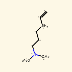 C=C[SiH2]CCCN(OC)OC